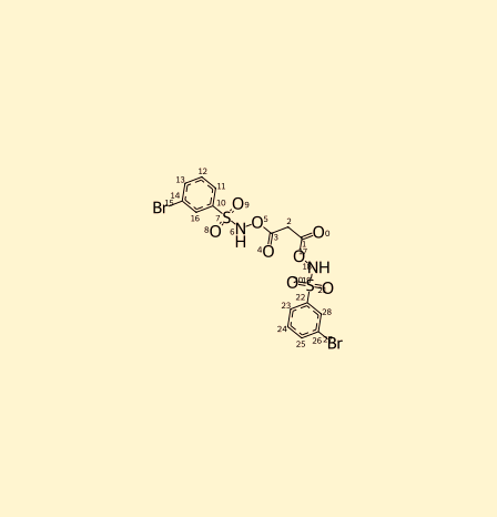 O=C(CC(=O)ONS(=O)(=O)c1cccc(Br)c1)ONS(=O)(=O)c1cccc(Br)c1